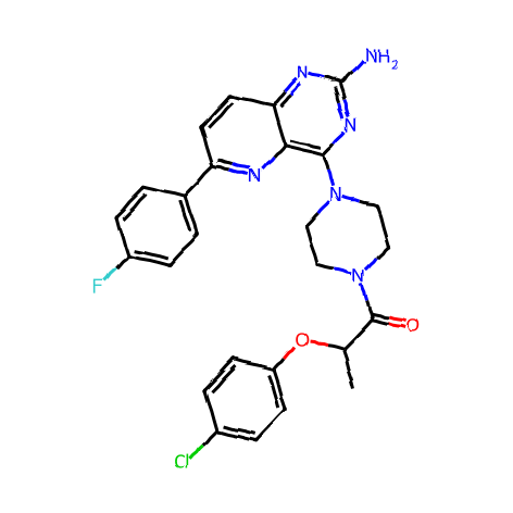 CC(Oc1ccc(Cl)cc1)C(=O)N1CCN(c2nc(N)nc3ccc(-c4ccc(F)cc4)nc23)CC1